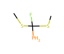 CSC(F)(P)SC